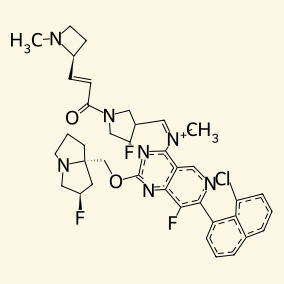 CN1CC[C@H]1/C=C/C(=O)N1CC(/C=[N+](/C)c2nc(OC[C@@]34CCCN3C[C@H](F)C4)nc3c(F)c(-c4cccc5cccc(Cl)c45)ncc23)[C@H](F)C1